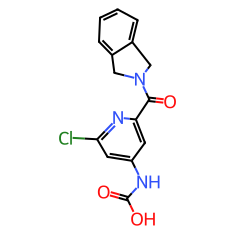 O=C(O)Nc1cc(Cl)nc(C(=O)N2Cc3ccccc3C2)c1